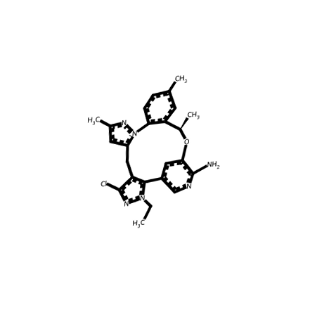 CCn1nc(Cl)c2c1-c1cnc(N)c(c1)O[C@H](C)c1cc(C)ccc1-n1nc(C)cc1C2